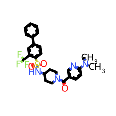 CN(C)c1ccc(C(=O)N2CCC(NS(=O)(=O)c3ccc(-c4ccccc4)cc3C(F)(F)F)CC2)cn1